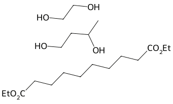 CC(O)CCO.CCOC(=O)CCCCCCCCC(=O)OCC.OCCO